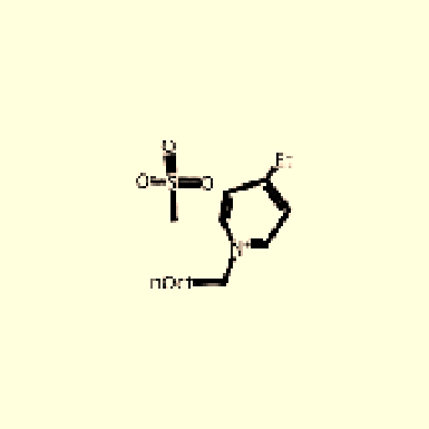 CCCCCCCCC[n+]1ccc(CC)cc1.CS(=O)(=O)[O-]